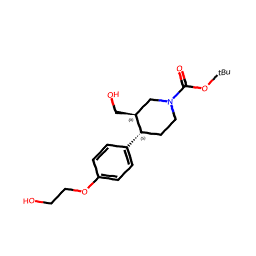 CC(C)(C)OC(=O)N1CC[C@H](c2ccc(OCCO)cc2)[C@@H](CO)C1